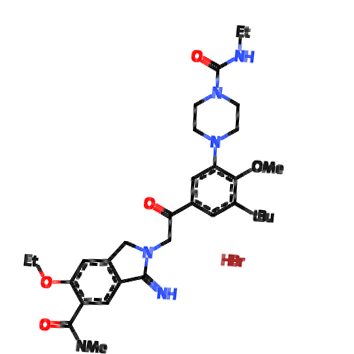 Br.CCNC(=O)N1CCN(c2cc(C(=O)CN3Cc4cc(OCC)c(C(=O)NC)cc4C3=N)cc(C(C)(C)C)c2OC)CC1